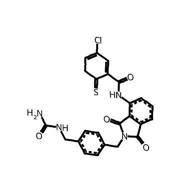 NC(=O)NCc1ccc(CN2C(=O)c3cccc(NC(=O)C4=CC(Cl)=CCC4=S)c3C2=O)cc1